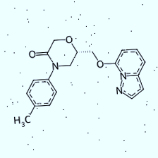 Cc1ccc(N2C[C@@H](COc3cccc4ccnn34)OCC2=O)cc1